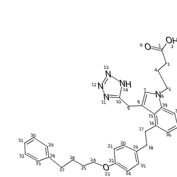 O=C(O)CCCn1cc(Cc2nnn[nH]2)c2c(CCc3ccc(OCCCCc4ccccc4)cc3)cccc21